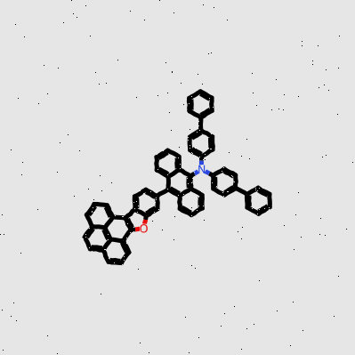 c1ccc(-c2ccc(N(c3ccc(-c4ccccc4)cc3)c3c4ccccc4c(-c4ccc5c(c4)oc4c6cccc7ccc8cccc(c54)c8c76)c4ccccc34)cc2)cc1